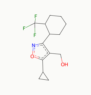 OCc1c(C2CCCCC2C(F)(F)F)noc1C1CC1